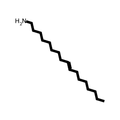 CCCCCCC/C=C/CCCCCCCCN